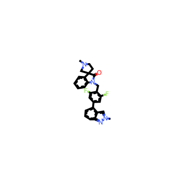 CN1CCC2(C1)C(=O)N(Cc1c(F)cc(-c3cccc4nn(C)cc34)cc1F)c1ccccc12